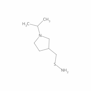 CC(C)N1CCC(CSN)C1